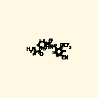 CC(N)C(=O)N1CCCC(C(=O)NCc2ccc(C#N)cc2OC(F)(F)F)C1